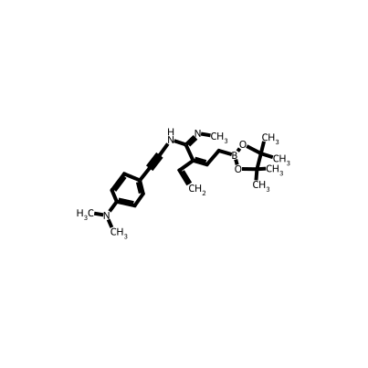 C=CC(=C/CB1OC(C)(C)C(C)(C)O1)/C(=N\C)NC#Cc1ccc(N(C)C)cc1